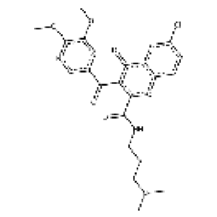 COc1cc(C(=O)c2c(C(=O)NCCCN(C)C)oc3ccc(Cl)cc3c2=O)cnc1OC